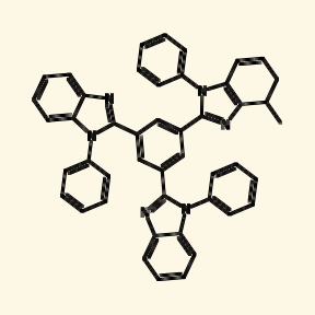 CC1CC=Cc2c1nc(-c1cc(-c3nc4ccccc4n3-c3ccccc3)cc(-c3nc4ccccc4n3-c3ccccc3)c1)n2-c1ccccc1